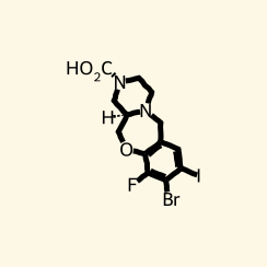 O=C(O)N1CCN2Cc3cc(I)c(Br)c(F)c3OC[C@H]2C1